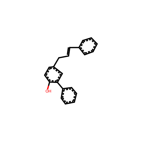 Oc1ccc(C/C=C/c2ccccc2)cc1-c1ccccc1